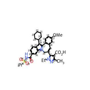 CCn1nc(C)c(C(=O)O)c1C1=Cc2cc(OC)ccc2-c2c(C3CCCCC3)c3ccc(C(=O)NS(=O)(=O)C(C)C)cc3n2C1